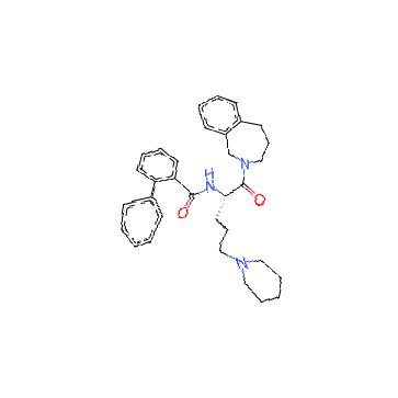 O=C(N[C@@H](CCCN1CCCCC1)C(=O)N1CCCc2ccccc2C1)c1ccccc1-c1ccccc1